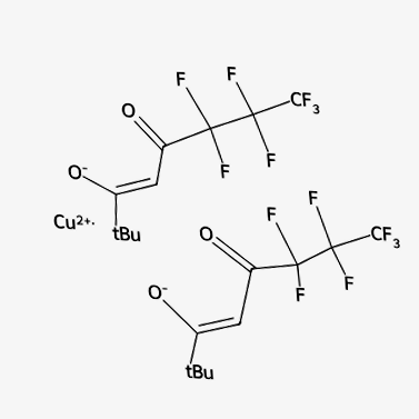 CC(C)(C)C([O-])=CC(=O)C(F)(F)C(F)(F)C(F)(F)F.CC(C)(C)C([O-])=CC(=O)C(F)(F)C(F)(F)C(F)(F)F.[Cu+2]